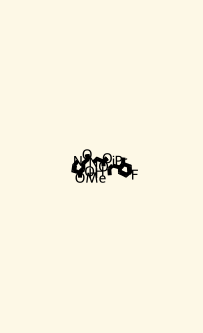 COc1ccnc(C(=O)NCC(=O)OC(C)C(c2ccc(F)cc2C)C(C)C)c1O